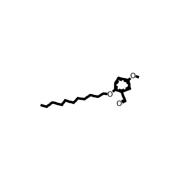 CCCCCCCCCCCOc1ccc(OC)cc1C=O